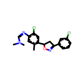 Cc1cc(/N=C\N(C)C)c(Cl)cc1C1CC(c2cccc(Cl)c2)=NO1